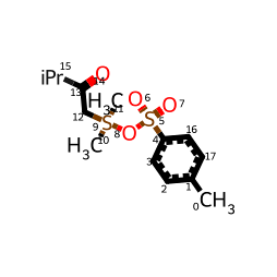 Cc1ccc(S(=O)(=O)OS(C)(C)CC(=O)C(C)C)cc1